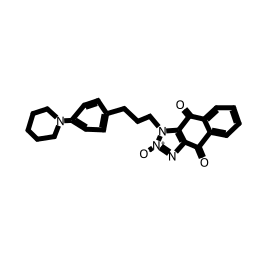 O=C1c2ccccc2C(=O)c2c1n[n+]([O-])n2CCCc1ccc(N2CCCCC2)cc1